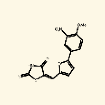 COc1ccc(-c2ccc(C=C3SC(=S)NC3=O)o2)cc1[N+](=O)[O-]